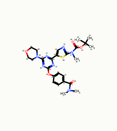 CN(C)C(=O)c1ccc(Oc2nc(-c3cnc(N(C)C(=O)OC(C)(C)C)s3)nc(N3CCOCC3)n2)cc1